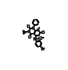 COc1cc(Br)ccc1Nc1cc(=O)n(C)c2c1c(=O)n(C1CC1)c(=O)n2-c1ccccc1